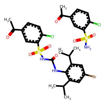 CC(=O)c1ccc(Cl)c(S(=O)(=O)NC(=O)Nc2c(C(C)C)cc(Br)cc2C(C)C)c1.CC(=O)c1ccc(Cl)c(S(N)(=O)=O)c1